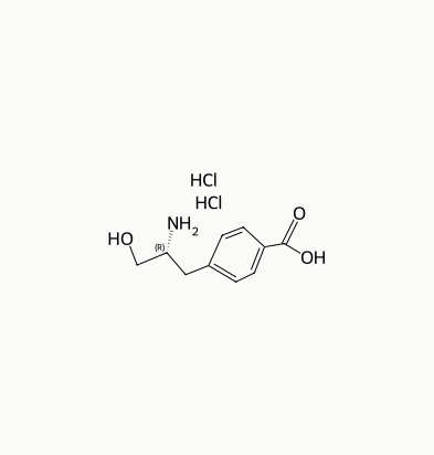 Cl.Cl.N[C@@H](CO)Cc1ccc(C(=O)O)cc1